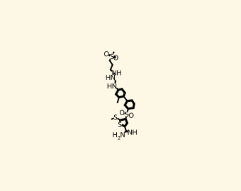 CSc1sc(C(=N)N)cc1S(=O)(=O)c1cccc(-c2ccc(NCNNCCCS(C)(=O)=O)cc2C)c1